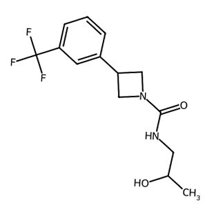 CC(O)CNC(=O)N1CC(c2cccc(C(F)(F)F)c2)C1